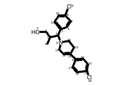 CC(CO)C(c1ccc(Cl)cc1)N1CC=C(c2ccc(Cl)cc2)CC1